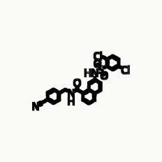 N#Cc1ccc(CNC(=O)c2cccc3ccc(NS(=O)(=O)c4cc(Cl)ccc4Cl)cc23)cc1